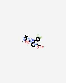 CNC(=O)[C@@H](NC(=O)n1nc(-c2ccc(F)c(F)c2)c2c1CCCN2CC(=O)COC)C(C)(C)C